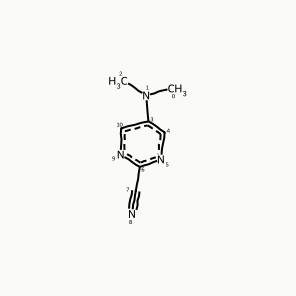 CN(C)c1cnc(C#N)nc1